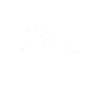 Cc1ccc(Oc2ccc(Nc3ncnc4c3C=C(C(=O)NCC(C)C)CCN4)cc2C)cn1